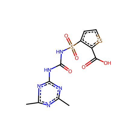 Cc1nc(C)nc(NC(=O)NS(=O)(=O)c2ccsc2C(=O)O)n1